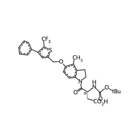 Cc1c(OCc2cc(-c3ccccc3)c(C(F)(F)F)s2)ccc2c1CCN2C(=O)[C@@H](CC(=O)O)NC(=O)OC(C)(C)C